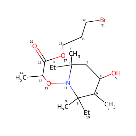 CCC1(C)CC(O)C(C)C(C)(CC)N1OC(C)C(=O)OCCCBr